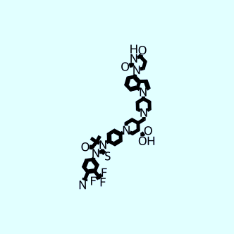 CC1(C)C(=O)N(c2ccc(C#N)c(C(F)(F)F)c2)C(=S)N1c1ccc(N2CCC(CN3CCC(n4ccc5c(N6CCC(=O)NC6=O)cccc54)CC3)CC2)cc1.O=CO